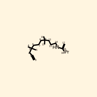 C#CCC(C)(C)CCCC(C)(C)CCCNC(=C)C(C)C